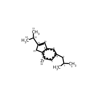 CC(C)Cc1ccc2c(c1)C=C(C(C)C)[CH]2.[Zr]